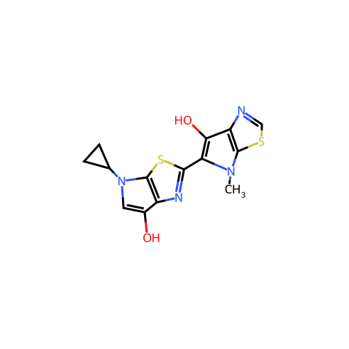 Cn1c(-c2nc3c(O)cn(C4CC4)c3s2)c(O)c2ncsc21